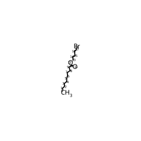 CCCCCCCCCCC(=O)OCCCCCBr